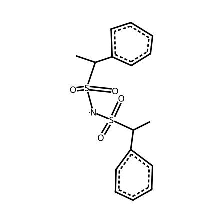 CC(c1ccccc1)S(=O)(=O)[N]S(=O)(=O)C(C)c1ccccc1